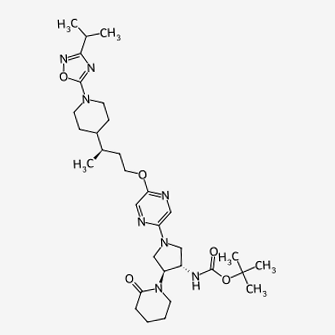 CC(C)c1noc(N2CCC([C@H](C)CCOc3cnc(N4C[C@H](NC(=O)OC(C)(C)C)[C@@H](N5CCCCC5=O)C4)cn3)CC2)n1